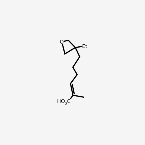 CCC1(CCCC=C(C)C(=O)O)COC1